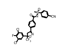 CS(=O)(=NC(=O)c1ccc(C2=NOC(c3cc(Cl)c(F)c(Cl)c3)(C(F)(F)F)C2)cc1)c1ccc(C#N)cc1